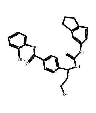 Nc1ccccc1NC(=O)c1ccc(C(CCO)NC(=O)Nc2ccc3c(c2)CCC3)cc1